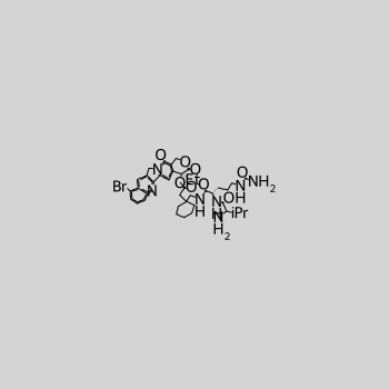 CC[C@@]1(OC(=O)CC2(CNC(=O)[C@H](CCCNC(N)=O)NC(=O)C(N)C(C)C)CCCCC2)C(=O)OCc2c1cc1n(c2=O)Cc2cc3c(Br)cccc3nc2-1